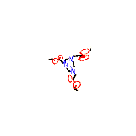 CCOC(=O)CN1CCN(CC(=O)OCC)CCN(CC(=O)OCC)CC1